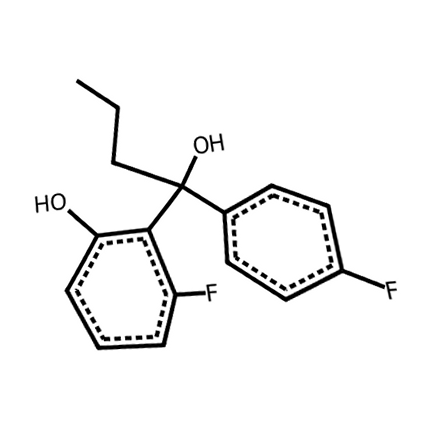 CCCC(O)(c1ccc(F)cc1)c1c(O)cccc1F